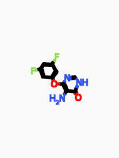 Nc1c(Oc2cc(F)cc(F)c2)nc[nH]c1=O